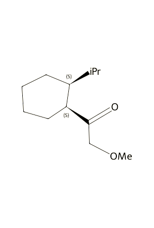 COCC(=O)[C@H]1CCCC[C@H]1C(C)C